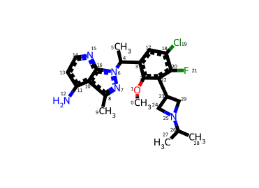 COc1c(C(C)n2nc(C)c3c(N)ccnc32)cc(Cl)c(F)c1C1CN(C(C)C)C1